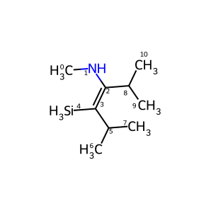 CNC(=C([SiH3])C(C)C)C(C)C